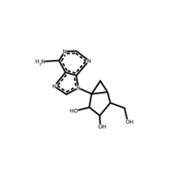 Nc1ncnc2c1ncn2C12CC1C(CO)C(O)C2O